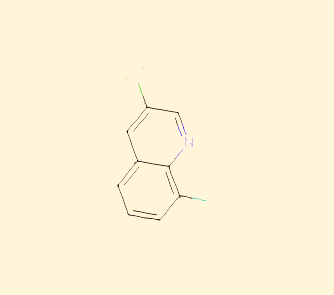 Fc1cccc2cc(Cl)cnc12